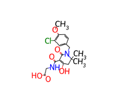 COc1ccc(CN2C(=O)C(C(=O)NCC(=O)O)=C(O)CC2(C)C)cc1Cl